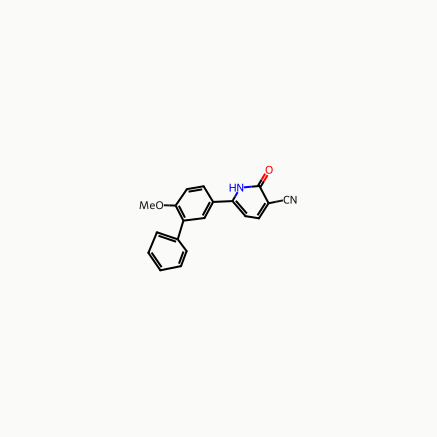 COc1ccc(-c2ccc(C#N)c(=O)[nH]2)cc1-c1ccccc1